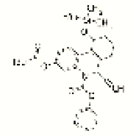 C#CC1C2=C(c3ccc(OC(=O)C(C)(C)C)cc3N1C(=O)Oc1ccccc1)C(O[Si](C)(C)C(C)(C)C)CCC2